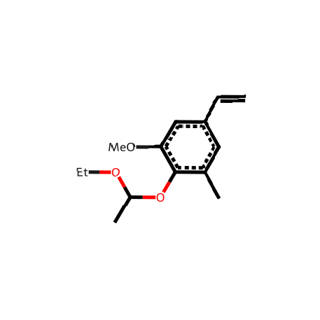 C=Cc1cc(C)c(OC(C)OCC)c(OC)c1